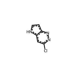 Clc1cc2[nH]ccc2nn1